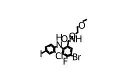 CCOCCONC(=O)c1cc(Br)c(F)cc1Nc1ccc(I)cc1Cl